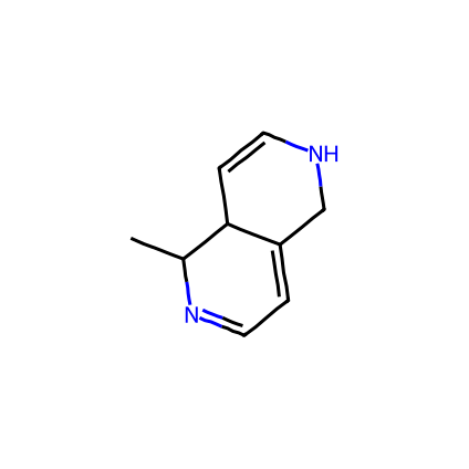 CC1N=CC=C2CNC=CC21